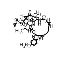 CCC[C@@H]1[C@@H]2CN(C(=O)[C@H](C(C)(C)C)NC(=O)O[C@@H]3C[C@H]3CCCCC(F)(F)c3nc4ccc(OC)cc4nc3O2)[C@@H]1C(=O)N[C@]1(C(=O)NS(=O)(=O)C2CC2)CC1C(F)F